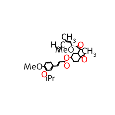 COc1ccc(/C=C/C(=O)O[C@@H]2CCC3(CO3)C(C3(C)O[C@H]3CC=C(C)C)[C@@H]2OC)cc1OC(C)C